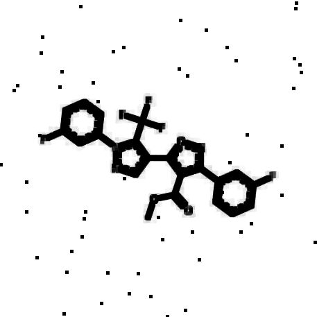 COC(=O)c1c(-c2cccc(F)c2)noc1-c1cnn(-c2cccc(F)c2)c1C(F)(F)F